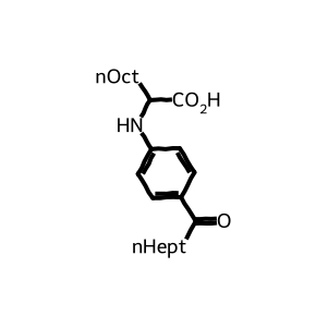 CCCCCCCCC(Nc1ccc(C(=O)CCCCCCC)cc1)C(=O)O